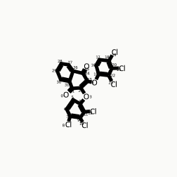 O=C1C(Oc2ccc(Cl)c(Cl)c2Cl)=C(Oc2ccc(Cl)c(Cl)c2Cl)C(=O)c2ccccc21